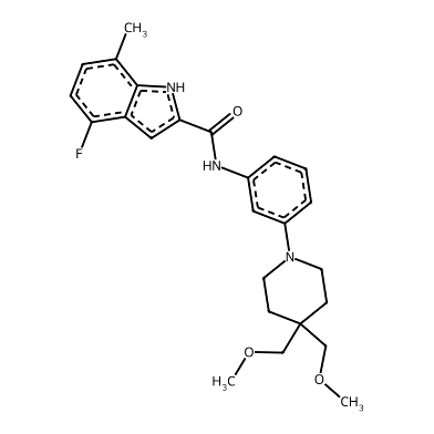 COCC1(COC)CCN(c2cccc(NC(=O)c3cc4c(F)ccc(C)c4[nH]3)c2)CC1